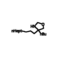 CCCCCCCCCCC1(CCCC)COCN1